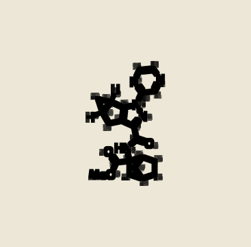 COC(=O)C1(NC(=O)c2nn(-c3cnccn3)c3c2C[C@@H]2C[C@H]32)CC2CCC1C2